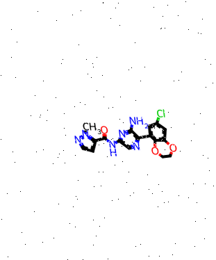 Cn1nccc1C(=O)Nc1cnc(-c2cc(Cl)cc3c2OCCO3)c(N)n1